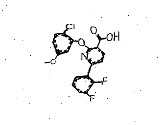 COc1ccc(Cl)c(Oc2nc(-c3cccc(F)c3F)ccc2C(=O)O)c1